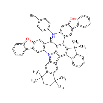 CC(C)(C)c1ccc(Nc2cc3oc4ccccc4c3cc2-c2c3c(c4c5cc6c(cc5n5c4c2Bc2cc4oc7ccccc7c4cc2-5)C(C)(C)CCC6(C)C)-c2ccccc2C3(C)C)cc1